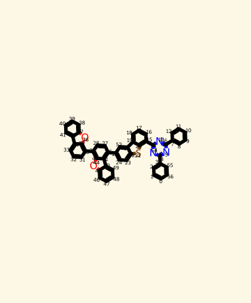 c1ccc(-c2nc(-c3ccccc3)nc(-c3cccc4c3sc3ccc(-c5ccc(-c6cccc7c6oc6ccccc67)c6oc7ccccc7c56)cc34)n2)cc1